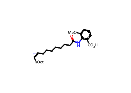 CCCCCCCC/C=C\CCCCCCCC(=O)Nc1c(OC)cccc1C(=O)O